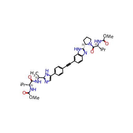 COC(=O)N[C@H](C(=O)N[C@@H](C)c1ncc(-c2ccc(C#Cc3ccc4nc([C@@H]5CCCN5C(=O)[C@@H](NC(=O)OC)C(C)C)[nH]c4c3)cc2)[nH]1)C(C)C